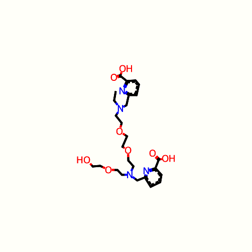 CCN(CCOCCOCCN(CCOCCO)Cc1cccc(C(=O)O)n1)Cc1cccc(C(=O)O)n1